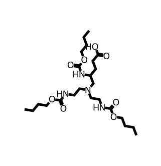 CCCCOC(=O)NCCN(CCNC(=O)OCCCC)CC(CCC(=O)O)NC(=O)OCCCC